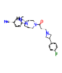 C[C@H]1CC2CN(C(=O)CCN3CC(c4ccc(F)cc4)C3)CC1N2c1ccc(C#N)cn1